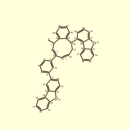 CC1/C=C(c2cccc(-c3ccc4oc5ccccc5c4c3)c2)\C=C/CN(c2cccc3oc4ccccc4c23)c2ccccc21